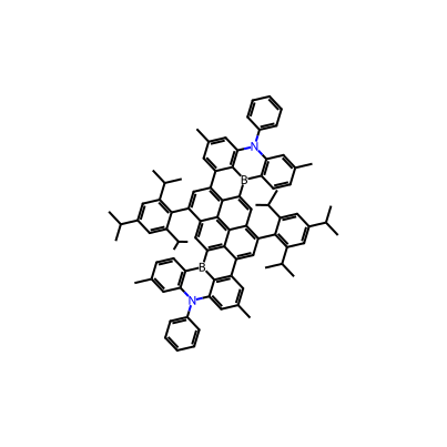 Cc1ccc2c(c1)N(c1ccccc1)c1cc(C)cc3c1B2c1cc2c(-c4c(C(C)C)cc(C(C)C)cc4C(C)C)cc4c5c(cc6c(-c7c(C(C)C)cc(C(C)C)cc7C(C)C)cc-3c1c6c25)B1c2ccc(C)cc2N(c2ccccc2)c2cc(C)cc-4c21